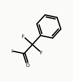 O=C(I)C(F)(F)c1ccccc1